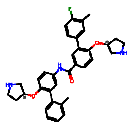 Cc1cc(-c2cc(C(=O)Nc3ccc(O[C@H]4CCNC4)c(-c4ccccc4C)c3)ccc2O[C@H]2CCNC2)ccc1F